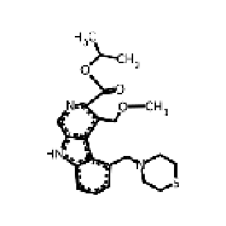 COCc1c(C(=O)OC(C)C)ncc2[nH]c3cccc(CN4CCSCC4)c3c12